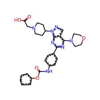 O=C(O)CN1CCC(n2ncc3c(N4CCOCC4)nc(-c4ccc(NC(=O)Oc5ccccc5)cc4)nc32)CC1